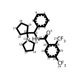 O=C(NC(c1ccccc1)C1(N2CCCC2)CCCC1)c1ccc(C(F)(F)F)cc1C(F)(F)F